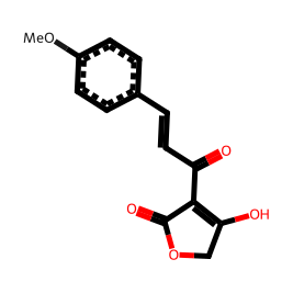 COc1ccc(C=CC(=O)C2=C(O)COC2=O)cc1